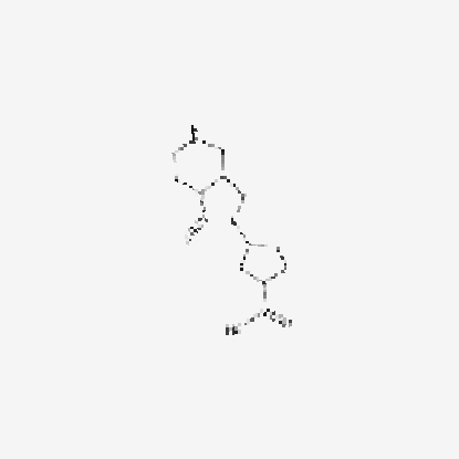 O=C(O)C1CCC(N2CC3CNCCN3C2=S)C1